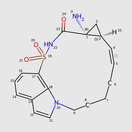 N[C@]12C[C@H]1/C=C\CCCCn1ccc3cccc(c31)S(=O)(=O)NC2=O